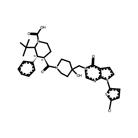 CC(C)(C)C1[C@@H](c2ccccc2)[C@H](C(=O)N2CCC(O)(Cn3cnc4c(ccn4-c4ccc(Cl)s4)c3=O)CC2)CCN1C(=O)O